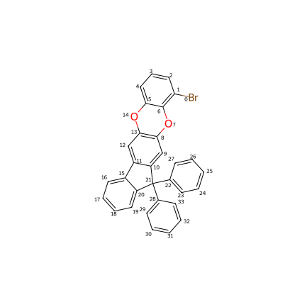 Brc1cccc2c1Oc1cc3c(cc1O2)-c1ccccc1C3(c1ccccc1)c1ccccc1